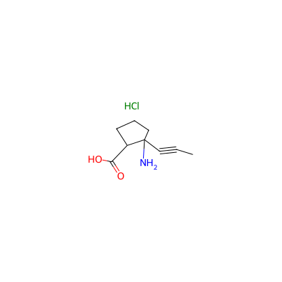 CC#CC1(N)CCCC1C(=O)O.Cl